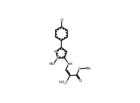 CCC(C)OC(=O)C(=CNc1cc(-c2ccc(Cl)cc2)nn1C(C)(C)C)C(=O)O